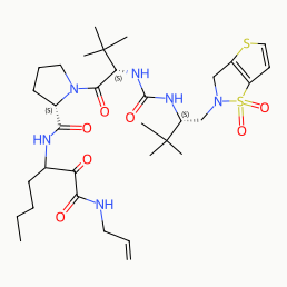 C=CCNC(=O)C(=O)C(CCCC)NC(=O)[C@@H]1CCCN1C(=O)[C@@H](NC(=O)N[C@H](CN1Cc2sccc2S1(=O)=O)C(C)(C)C)C(C)(C)C